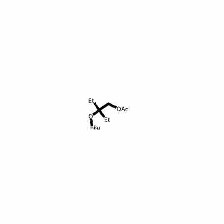 CCCCOC(CC)(CC)COC(C)=O